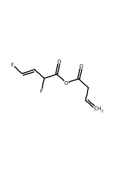 C=CCC(=O)OC(=O)C(F)C=CF